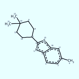 Cc1ccc2nc(C3CCC(C)(C)CC3)sc2c1